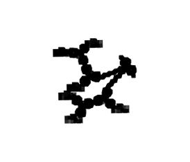 CCCCc1ccc(N(c2ccc(CCCC)cc2)c2ccc(-c3ccc(N(c4ccc(CCCC)cc4)c4ccc(CCCCCCCCC5(CCCCCCCCc6ccc(N(c7ccc(CCCC)cc7)c7ccc(-c8ccc(N(c9ccc(CCCC)cc9)c9ccc(CCCC)cc9)cc8)cc7)cc6)c6cc(C)ccc6-c6ccc(C)cc65)cc4)cc3)cc2)cc1